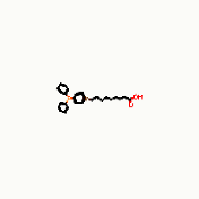 O=C(O)CCCCCCCCBr.c1ccc(P(c2ccccc2)c2ccccc2)cc1